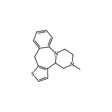 CN1CCN2c3ccccc3Cc3sccc3C2C1